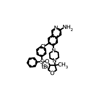 CC1(N2CCN(c3cc4cc(N)ncc4cc3Cl)CC2)COCC1O[Si](c1ccccc1)(c1ccccc1)C(C)(C)C